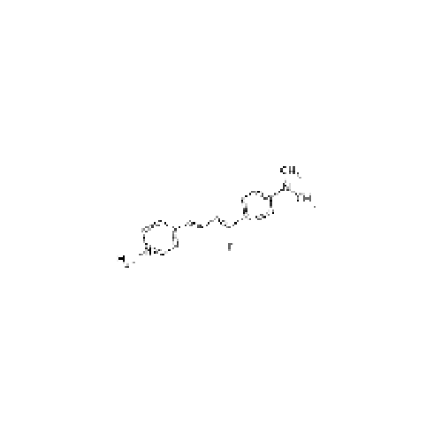 CN(C)c1ccc(/C=C/C=C/c2cc[n+](C)cc2)cc1.[I-]